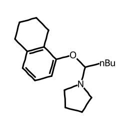 CCCCC(Oc1cccc2c1CCCC2)N1CCCC1